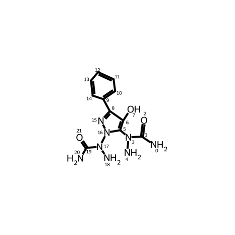 NC(=O)N(N)c1c(O)c(-c2ccccc2)nn1N(N)C(N)=O